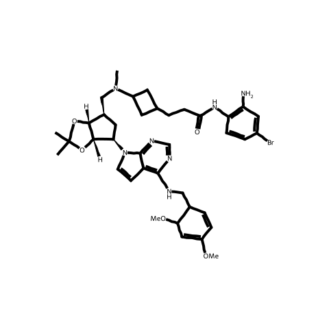 COC1=CC(OC)C(CNc2ncnc3c2ccn3[C@@H]2C[C@H](CN(C)C3CC(CCC(=O)Nc4ccc(Br)cc4N)C3)[C@H]3OC(C)(C)O[C@H]32)C=C1